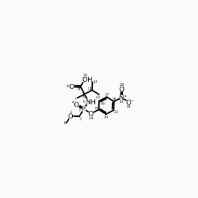 COCP(=O)(NC(C)(C(=O)O)C(C)C)Oc1ccc([N+](=O)[O-])cc1